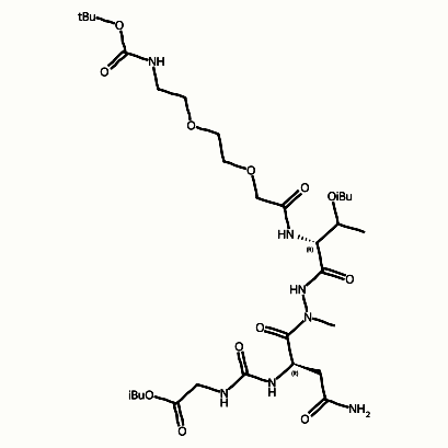 CC(C)COC(=O)CNC(=O)N[C@H](CC(N)=O)C(=O)N(C)NC(=O)[C@H](NC(=O)COCCOCCNC(=O)OC(C)(C)C)C(C)OCC(C)C